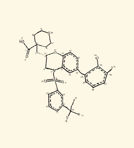 O=C(O)C1(C[C@H]2CN(S(=O)(=O)c3cccc(C(F)(F)F)c3)c3cc(-c4cccc(F)c4Cl)ccc3O2)CCOCC1